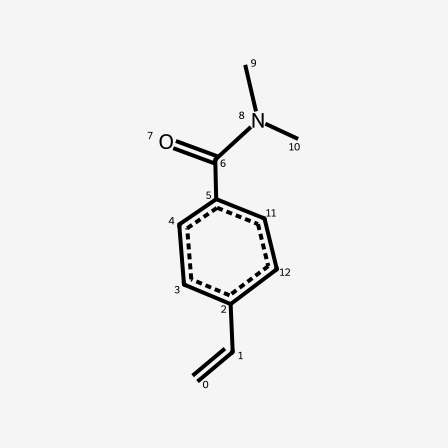 C=Cc1ccc(C(=O)N(C)C)cc1